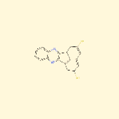 SC1=CC2=CC(S)CC3=C2C(C1)c1nc2ccccc2nc13